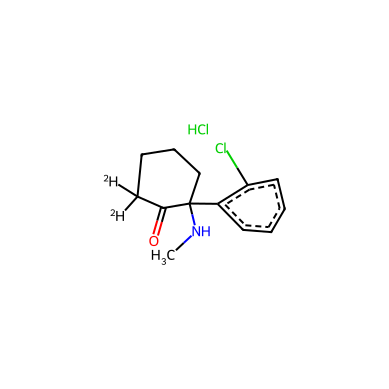 Cl.[2H]C1([2H])CCCC(NC)(c2ccccc2Cl)C1=O